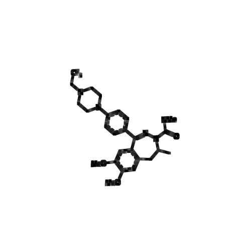 CNC(=O)N1N=C(c2ccc(N3CCN(CC(F)(F)F)CC3)cc2)c2cc(OC)c(OC)cc2CC1C